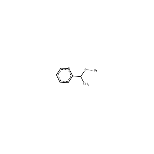 CCCSC(C)c1ccccn1